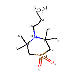 CC1(C)CS(=O)(=O)CC(C)(C)N1CCC(=O)O